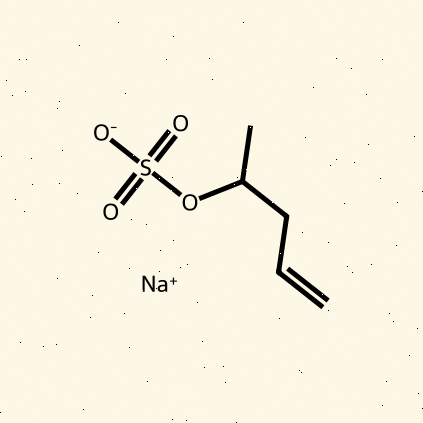 C=CCC(C)OS(=O)(=O)[O-].[Na+]